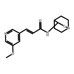 COc1cncc(C=CC(=O)NC2CN3CCC2CC3)c1